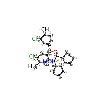 Cc1ccc(B(O[C@@H](c2ccccc2)[C@H](N)c2ccccc2)c2ccc(C)c(Cl)c2)cc1Cl